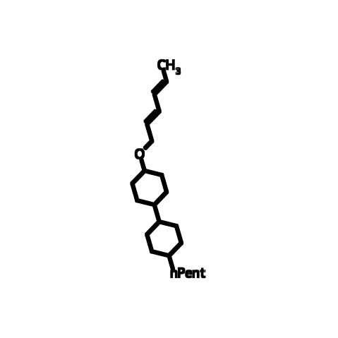 CC=CC=CCOC1CCC(C2CCC(CCCCC)CC2)CC1